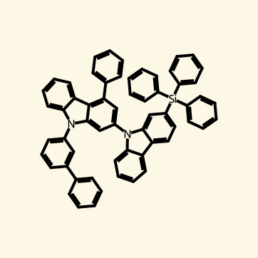 c1ccc(-c2cccc(-n3c4ccccc4c4c(-c5ccccc5)cc(-n5c6ccccc6c6ccc([Si](c7ccccc7)(c7ccccc7)c7ccccc7)cc65)cc43)c2)cc1